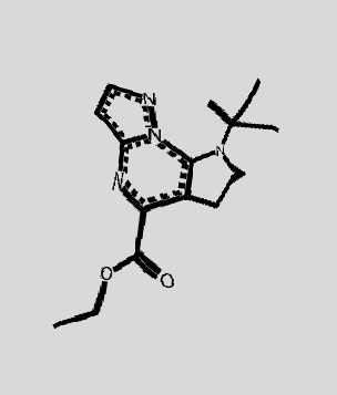 CCOC(=O)c1nc2ccnn2c2c1CCN2C(C)(C)C